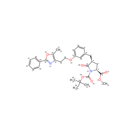 COC(=O)[C@@H]1C[C@H](Cc2cccc(OCCc3nc(-c4ccccc4)oc3C)c2)C(=O)N1C(=O)OC(C)(C)C